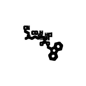 CN(CCC#N)CCC[C@H](NC(=O)OCC1c2ccccc2-c2ccccc21)C(=O)O.Cl